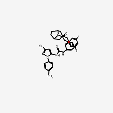 Cc1ccc(-n2nc(C(C)(C)C)cc2NC(=O)Nc2cccc(CC3CC4CCC(C3)N4C(=O)Cc3cc(F)cc(F)c3)c2)cc1